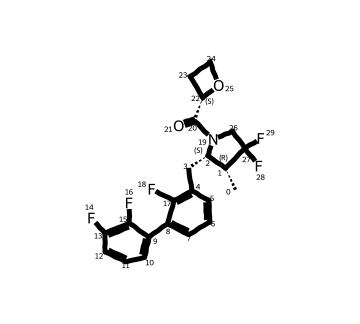 C[C@@H]1[C@H](Cc2cccc(-c3cccc(F)c3F)c2F)N(C(=O)[C@@H]2CCO2)CC1(F)F